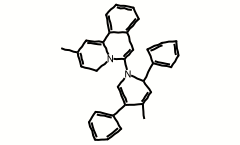 CC1=CCN2C(=C1)c1ccccc1C=C2N1C=C(c2ccccc2)C(C)=CC1c1ccccc1